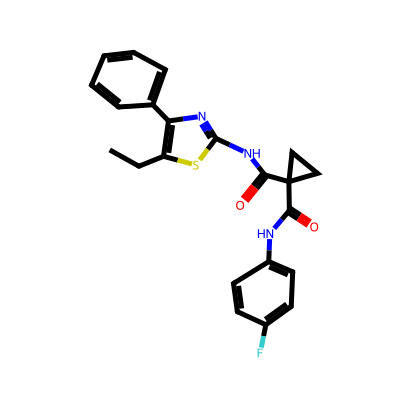 CCc1sc(NC(=O)C2(C(=O)Nc3ccc(F)cc3)CC2)nc1-c1ccccc1